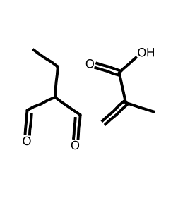 C=C(C)C(=O)O.CCC(C=O)C=O